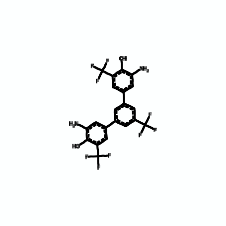 Nc1cc(-c2cc(-c3cc(N)c(O)c(C(F)(F)F)c3)cc(C(F)(F)F)c2)cc(C(F)(F)F)c1O